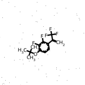 C=C(c1ccc(OC(C)(C)C)c(F)c1F)C(F)(F)F